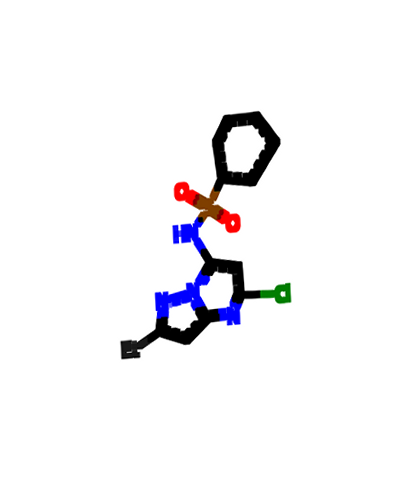 CCc1cc2nc(Cl)cc(NS(=O)(=O)c3ccccc3)n2n1